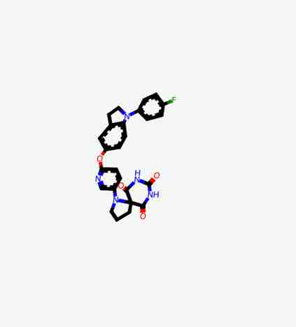 O=C1NC(=O)C2(CCCN2c2ccc(Oc3ccc4c(c3)CCN4c3ccc(F)cc3)nc2)C(=O)N1